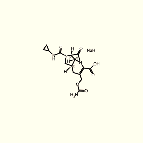 NC(=O)OCC1=C(C(=O)O)N2C(=O)[C@@H]3[C@H]2[C@H](C1)CN3C(=O)NC1CC1.[NaH]